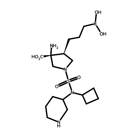 N[C@@]1(C(=O)O)CN(S(=O)(=O)N(C2CCC2)C2CCCNC2)C[C@@H]1CCCB(O)O